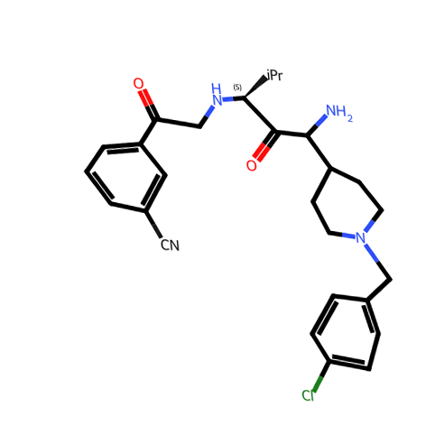 CC(C)[C@H](NCC(=O)c1cccc(C#N)c1)C(=O)C(N)C1CCN(Cc2ccc(Cl)cc2)CC1